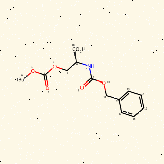 CC(C)(C)OC(=O)OC[C@H](NC(=O)OCc1ccccc1)C(=O)O